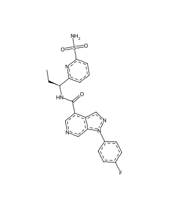 CC[C@H](NC(=O)c1cncc2c1cnn2-c1ccc(F)cc1)c1cccc(S(N)(=O)=O)n1